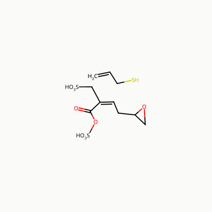 C=CCS.O=C(OS(=O)(=O)O)C(=CCC1CO1)CS(=O)(=O)O